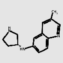 Cc1cnc2ccc(N[C@@H]3CCNC3)cc2c1